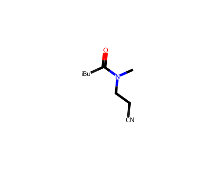 CCC(C)C(=O)N(C)CCC#N